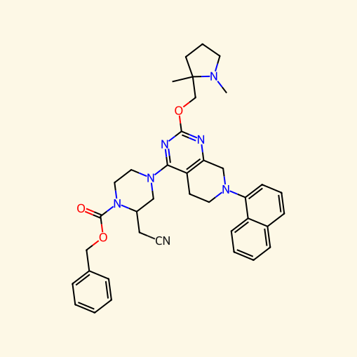 CN1CCCC1(C)COc1nc2c(c(N3CCN(C(=O)OCc4ccccc4)C(CC#N)C3)n1)CCN(c1cccc3ccccc13)C2